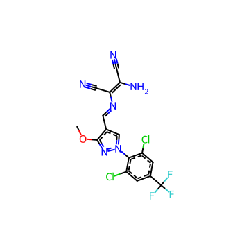 COc1nn(-c2c(Cl)cc(C(F)(F)F)cc2Cl)cc1C=NC(C#N)=C(N)C#N